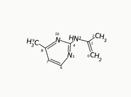 C=C(C)Nc1nccc(C)n1